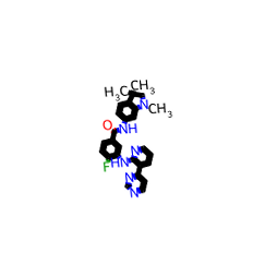 CN1CC(C)(C)c2ccc(NC(=O)c3ccc(F)c(Nc4ncccc4-c4ccncn4)c3)cc21